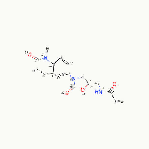 CCC(=O)NC[C@H]1CN(c2ccc3c(c2)CCC(=O)N3C)C(=O)O1